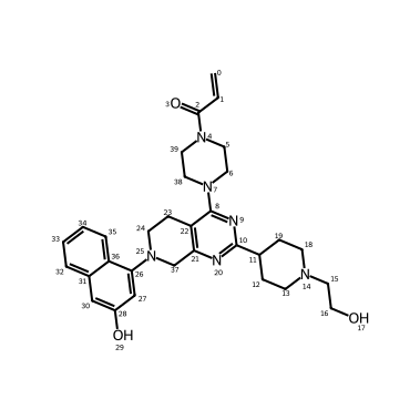 C=CC(=O)N1CCN(c2nc(C3CCN(CCO)CC3)nc3c2CCN(c2cc(O)cc4ccccc24)C3)CC1